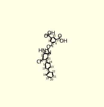 O=C(O)c1cc(COc2nc3cc(-c4ccc(-c5ccccc5)cc4)c(Cl)cc3[nH]2)cc(C(=O)O)c1